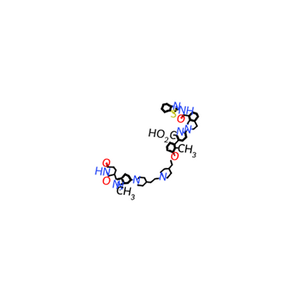 Cc1c(OCCC2CCN(CCCC3CCN(c4ccc5c(C6CCC(=O)NC6=O)nn(C)c5c4)CC3)CC2)cccc1-c1ccc(N2CCc3cccc(C(=O)Nc4nc5ccccc5s4)c3C2)nc1C(=O)O